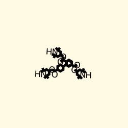 CC1(C)CC(OC(=O)c2ccc(C(=O)OC3CC(C)(C)NC(C)(C)C3)c(C3CCC(C(=O)OC4CC(C)(C)NC(C)(C)C4)CC3)c2)CC(C)(C)N1